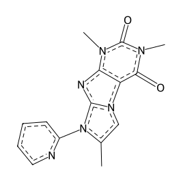 Cc1cn2c3c(=O)n(C)c(=O)n(C)c3nc2n1-c1ccccn1